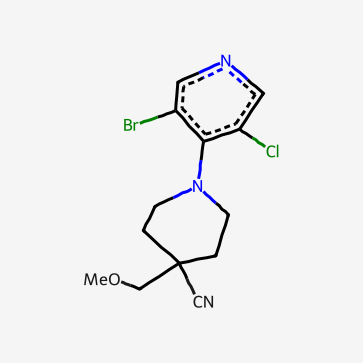 COCC1(C#N)CCN(c2c(Cl)cncc2Br)CC1